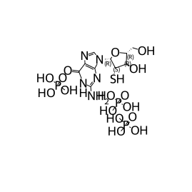 Nc1nc2c(ncn2[C@@H]2O[C@H](CO)[C@@H](O)[C@@H]2S)c(=O)[nH]1.O=P(O)(O)O.O=P(O)(O)O.O=P(O)(O)O